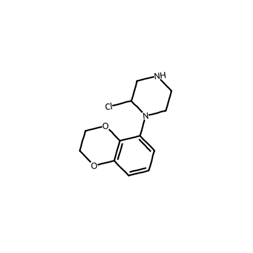 ClC1CNCCN1c1cccc2c1OCCO2